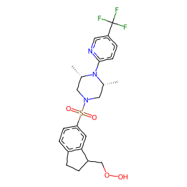 C[C@@H]1CN(S(=O)(=O)c2ccc3c(c2)C(COO)CC3)C[C@H](C)N1c1ccc(C(F)(F)F)cn1